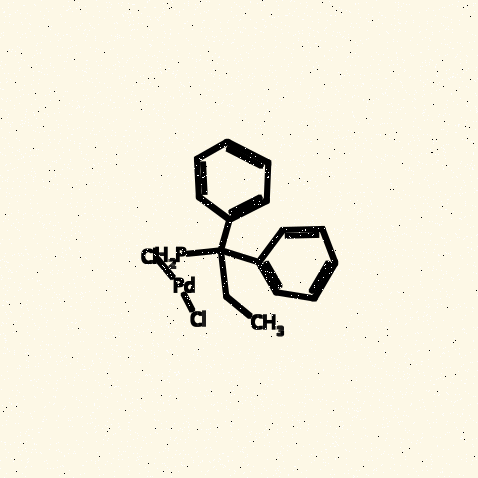 CCC(P)(c1ccccc1)c1ccccc1.[Cl][Pd][Cl]